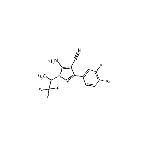 CC(n1nc(-c2ccc(Br)c(F)c2)c(C#N)c1N)C(F)(F)F